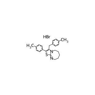 Br.Cc1ccc(CC2=C(c3ccc(C)cc3)S/C3=N/CCCCCN23)cc1